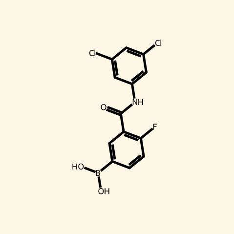 O=C(Nc1cc(Cl)cc(Cl)c1)c1cc(B(O)O)ccc1F